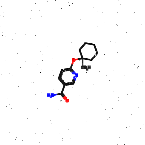 NC(=O)c1ccc(OC2(C(=O)O)CCCCC2)nc1